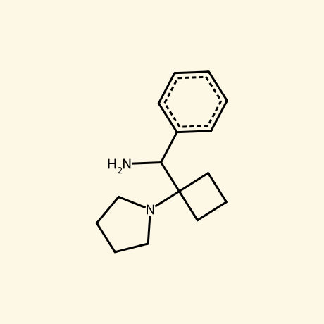 NC(c1ccccc1)C1(N2CCCC2)CCC1